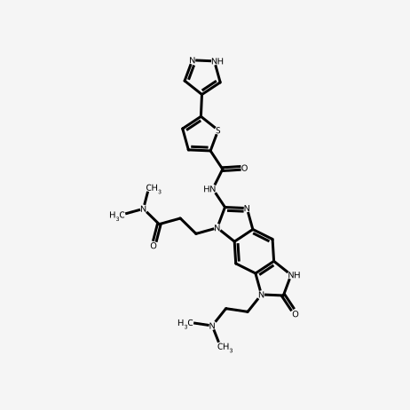 CN(C)CCn1c(=O)[nH]c2cc3nc(NC(=O)c4ccc(-c5cn[nH]c5)s4)n(CCC(=O)N(C)C)c3cc21